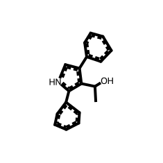 CC(O)c1c(-c2ccccc2)c[nH]c1-c1ccccc1